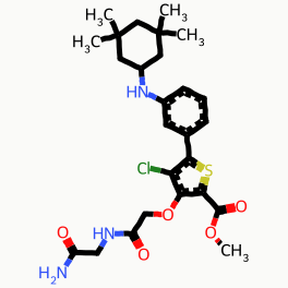 COC(=O)c1sc(-c2cccc(NC3CC(C)(C)CC(C)(C)C3)c2)c(Cl)c1OCC(=O)NCC(N)=O